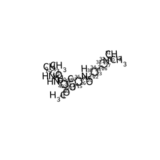 CCC(CC)NC(=O)Nc1ccc(Oc2ccc(NC(=O)c3ccc(C4=CCN(C(C)C)CC4)cc3)cc2C)c(OC)c1